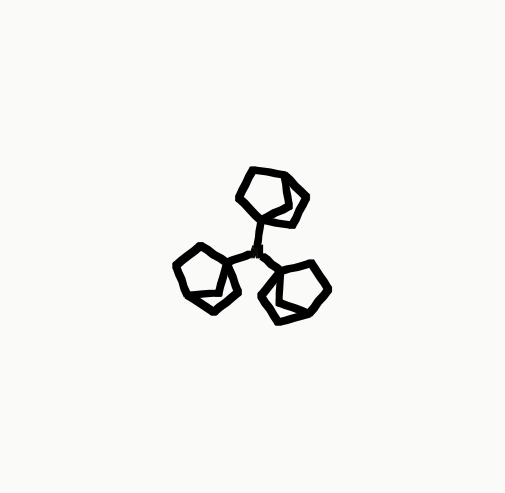 C1C[C]2([Al]([C]34CCC(CC3)C4)[C]34CCC(CC3)C4)CCC1C2